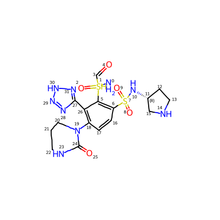 N[SH](=O)(C=O)c1c(S(=O)(=O)N[C@@H]2CCNC2)ccc(N2CCCNC2=O)c1-c1nn[nH]n1